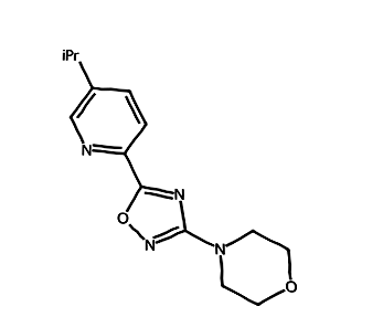 CC(C)c1ccc(-c2nc(N3CCOCC3)no2)nc1